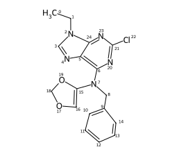 CCn1cnc2c(N(Cc3ccccc3)C3=COCO3)nc(Cl)nc21